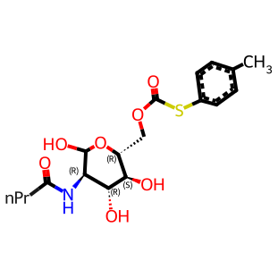 CCCC(=O)N[C@H]1C(O)O[C@H](COC(=O)Sc2ccc(C)cc2)[C@@H](O)[C@@H]1O